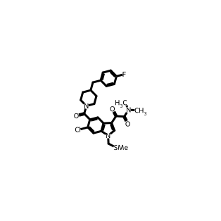 CSCn1cc(C(=O)C(=O)N(C)C)c2cc(C(=O)N3CCC(Cc4ccc(F)cc4)CC3)c(Cl)cc21